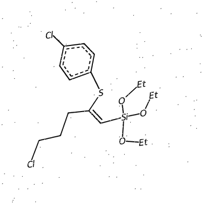 CCO[Si](/C=C(/CCCCl)Sc1ccc(Cl)cc1)(OCC)OCC